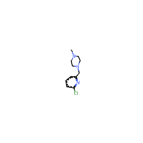 CN1CCN(Cc2cccc(Cl)n2)CC1